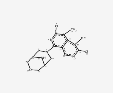 Cc1c(Cl)nc(N2CC3COCC(C2)N3)c2cnc(Cl)c(F)c12